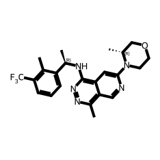 Cc1c([C@@H](C)Nc2nnc(C)c3cnc(N4CCOC[C@H]4C)cc23)cccc1C(F)(F)F